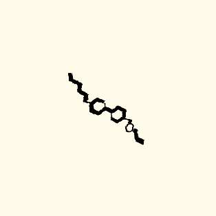 C=CCOC[C@H]1CC[C@H]([C@H]2CC[C@H](C=CCCCC)CC2)CC1